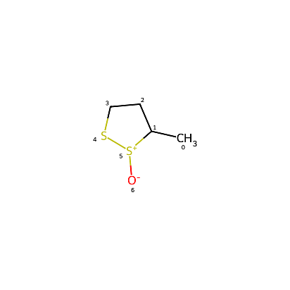 CC1CCS[S+]1[O-]